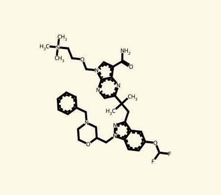 CC(C)(Cc1nn(CC2CN(Cc3ccccc3)CCO2)c2ccc(OC(F)F)cc12)c1cnc2c(n1)c(C(N)=O)cn2COCC[Si](C)(C)C